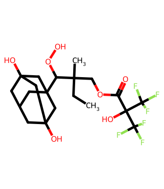 CCC(C)(COC(=O)C(O)(C(F)(F)F)C(F)(F)F)C(OO)C12CC3CC(O)(CC(O)(C3)C1)C2